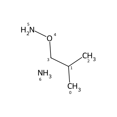 CC(C)CON.N